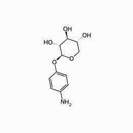 Nc1ccc(O[C@@H]2OC[C@@H](O)[C@H](O)[C@H]2O)cc1